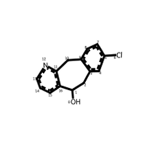 OC1Cc2cc(Cl)ccc2Cc2ncccc21